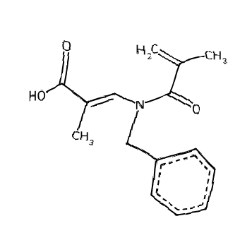 C=C(C)C(=O)N(C=C(C)C(=O)O)Cc1ccccc1